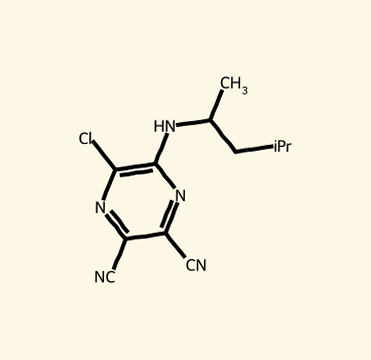 CC(C)CC(C)Nc1nc(C#N)c(C#N)nc1Cl